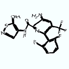 Nc1cc(C(F)(F)F)c(-c2c(F)cccc2F)nc1C(=O)Nc1cnsc1O